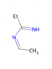 C/C=N\C(=N)CC